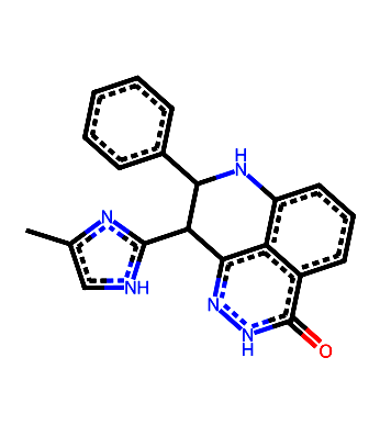 Cc1c[nH]c(C2c3n[nH]c(=O)c4cccc(c34)NC2c2ccccc2)n1